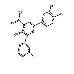 O=C(O)c1cc(-c2ccc(Cl)c(Cl)c2)nn(-c2cccc(F)c2)c1=O